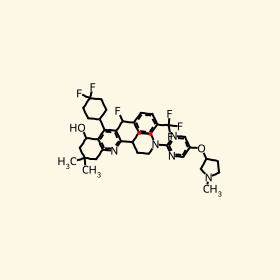 CN1CCC(Oc2cnc(N3CCC(c4nc5c(c(C6CCC(F)(F)CC6)c4C(F)c4ccc(C(F)(F)F)cc4)C(O)CC(C)(C)C5)CC3)nc2)C1